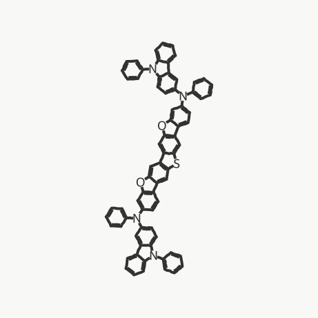 c1ccc(N(c2ccc3c(c2)oc2cc4c(cc23)sc2cc3c(cc24)oc2cc(N(c4ccccc4)c4ccc5c(c4)c4ccccc4n5-c4ccccc4)ccc23)c2ccc3c(c2)c2ccccc2n3-c2ccccc2)cc1